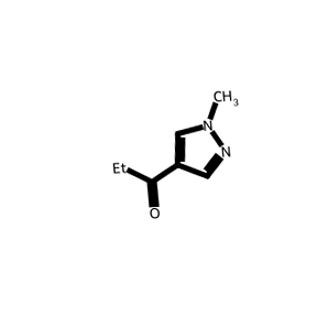 CCC(=O)c1cnn(C)c1